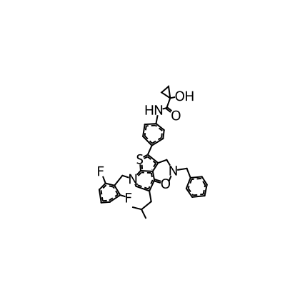 CC(C)Cc1cn(Cc2c(F)cccc2F)c2sc(-c3ccc(NC(=O)C4(O)CC4)cc3)c(CN(C)Cc3ccccc3)c2c1=O